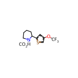 O=C(O)N1CCCCC1c1cc(OC(F)(F)F)cs1